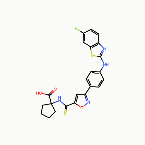 O=C(O)C1(NC(=S)c2cc(-c3ccc(Nc4nc5ccc(F)cc5s4)cc3)no2)CCCC1